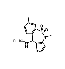 CCCCCCNC1c2ccc(C)cc2S(=O)(=O)N(C)c2ccsc21